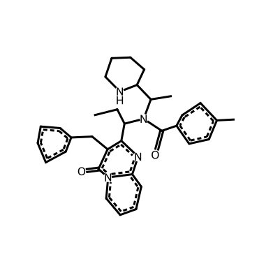 CCC(c1nc2ccccn2c(=O)c1Cc1ccccc1)N(C(=O)c1ccc(C)cc1)C(C)C1CCCCN1